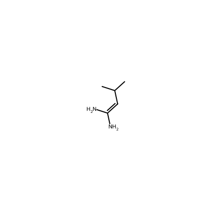 CC(C)C=C(N)N